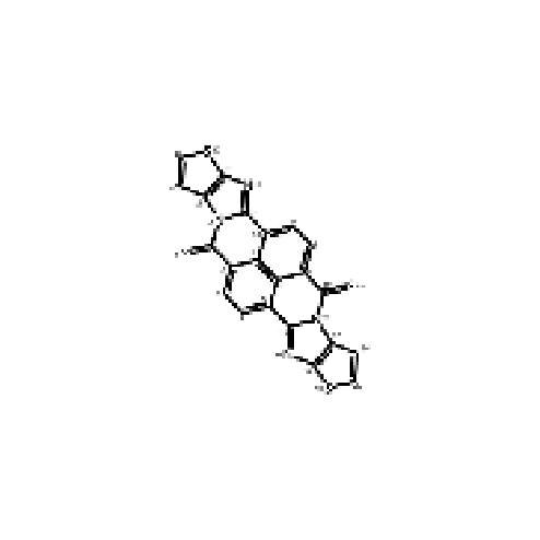 S=c1c2ccc3c4c(ccc(c24)c2nc4sccc4n12)c(=S)n1c2ccsc2nc31